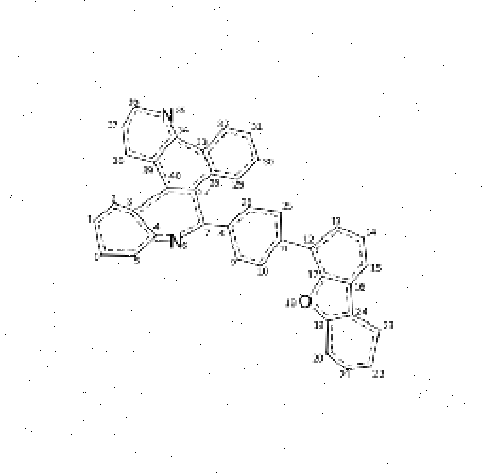 c1ccc2c(c1)nc(-c1ccc(-c3cccc4c3oc3ccccc34)cc1)c1c3ccccc3c3ncccc3c21